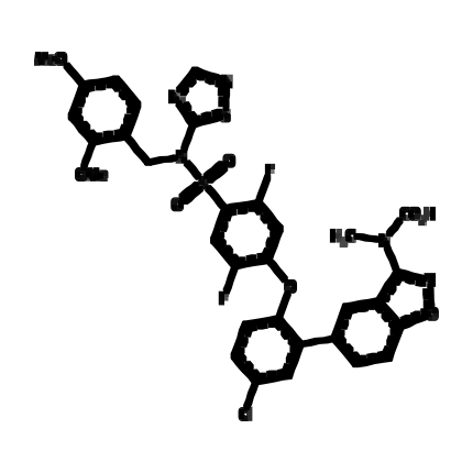 COc1ccc(CN(c2ncns2)S(=O)(=O)c2cc(F)c(Oc3ccc(Cl)cc3-c3ccc4onc(N(C)C(=O)O)c4c3)cc2F)c(OC)c1